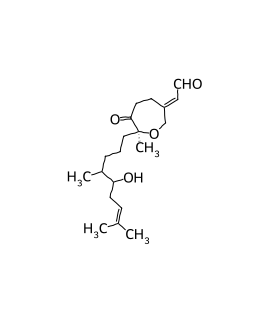 CC(C)=CCC(O)C(C)CCC[C@]1(C)OC/C(=C/C=O)CCC1=O